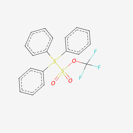 O=S(=O)(OC(F)(F)F)S(c1ccccc1)(c1ccccc1)c1ccccc1